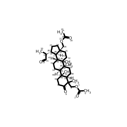 CC(=O)OCC1(C)C(=O)CC[C@]2(C)[C@H]3CC[C@@H]4[C@H]5[C@H](C(C)C=O)CC[C@]5(COC(C)=O)CC[C@@]4(C)[C@]3(C)CC[C@@H]12